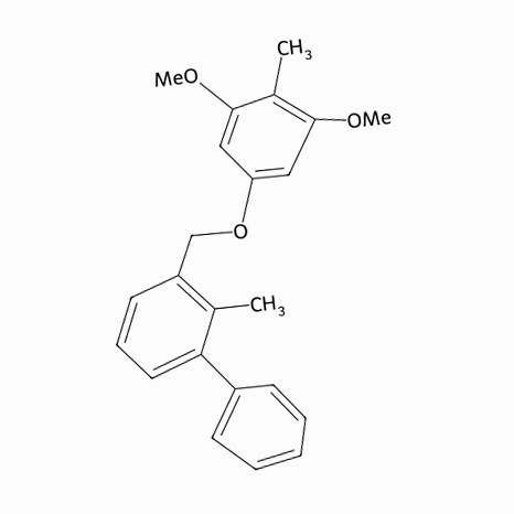 COc1cc(OCc2cccc(-c3ccccc3)c2C)cc(OC)c1C